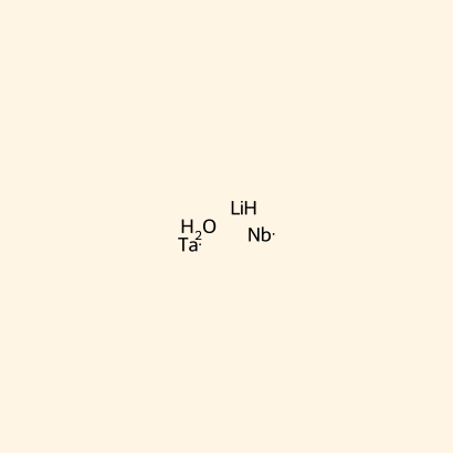 O.[LiH].[Nb].[Ta]